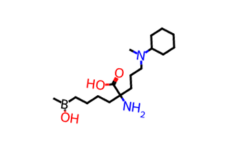 CB(O)CCCCC(N)(CCCN(C)C1CCCCC1)C(=O)O